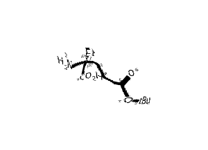 CC[C@](N)(CCC(=O)OC(C)(C)C)C(=O)O